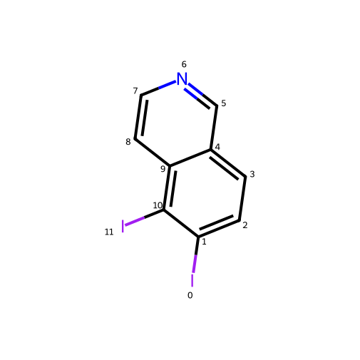 Ic1ccc2cnccc2c1I